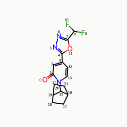 O=c1cc(-c2nnc(C(F)F)o2)ccn1C1C2CCC1CC2